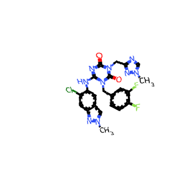 Cn1cnc(Cn2c(=O)nc(Nc3cc4cn(C)nc4cc3Cl)n(Cc3ccc(F)c(F)c3)c2=O)n1